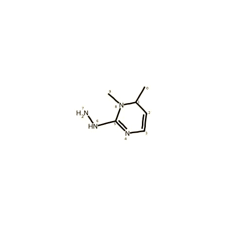 CC1C=CN=C(NN)N1C